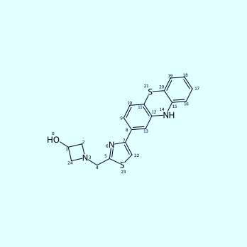 OC1CN(Cc2nc(-c3ccc4c(c3)Nc3ccccc3S4)cs2)C1